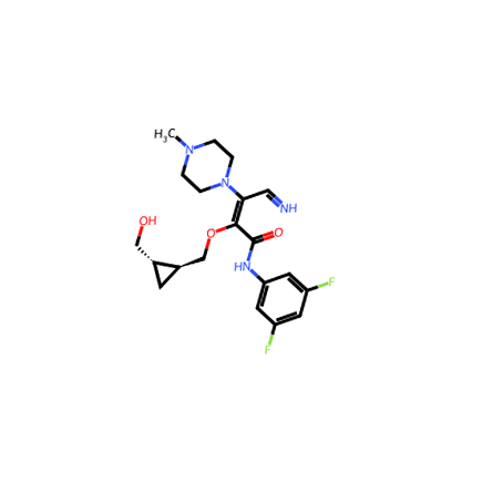 CN1CCN(/C(C=N)=C(\OC[C@H]2C[C@@H]2CO)C(=O)Nc2cc(F)cc(F)c2)CC1